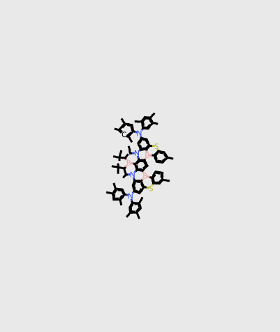 CCN1c2cc(N(c3cc(C)c(C)cc3C)c3cc(C)c(C)cc3C)cc3c2B(c2ccc(C)cc2S3)c2cc3c4c(c21)B(C(C)C(C)(C)C)C(C(C)(C)C)C(C)N4c1cc(N(c2cc(C)c(C)cc2C)c2cc(C)c(C)cc2C)cc2c1B3c1ccc(C)cc1S2